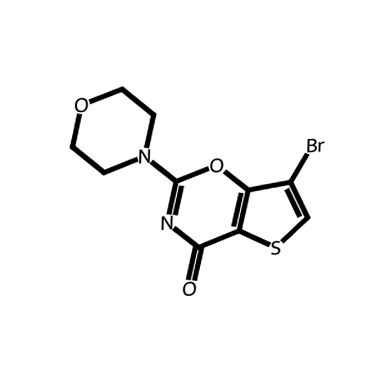 O=c1nc(N2CCOCC2)oc2c(Br)csc12